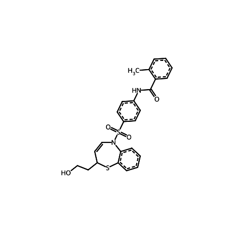 Cc1ccccc1C(=O)Nc1ccc(S(=O)(=O)N2C=CC(CCO)Sc3ccccc32)cc1